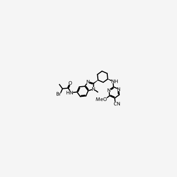 COc1nc(N[C@@H]2CCC[C@H](c3nc4cc(NC(=O)C(C)Br)ccc4n3C)C2)ncc1C#N